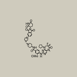 COc1cc(C(=O)NC2CCN(C[C@@H]3CCN(c4ccc5c(c4)C(=O)N(C4CCC(=O)NC4=O)C5=O)C3)CC2)ccc1Nc1ncc2c(n1)N(C1CCCC1)CC(F)(F)C(=O)N2C